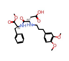 COC(=O)[C@H](Cc1ccccc1)NC(=O)[C@H](CC(=O)O)NCCCc1ccc(OC)c(OC)c1